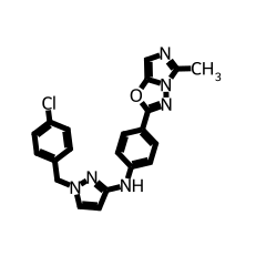 Cc1ncc2oc(-c3ccc(Nc4ccn(Cc5ccc(Cl)cc5)n4)cc3)nn12